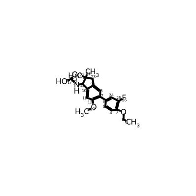 CCOc1ccc(-c2cc3c(cc2OC)C(NC(=O)O)C(C)(C)C3)cc1F